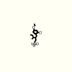 [CH2]C(CC)C(CC[SH](=O)=O)Cc1ccc(OCC)cc1Cl